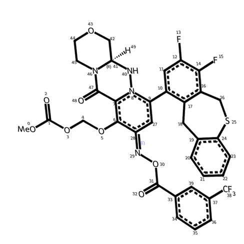 COC(=O)OCOc1c2n(c(-c3cc(F)c(F)c4c3Cc3ccccc3SC4)c/c1=N\OC(=O)c1cccc(C(F)(F)F)c1)N[C@@H]1COCCN1C2=O